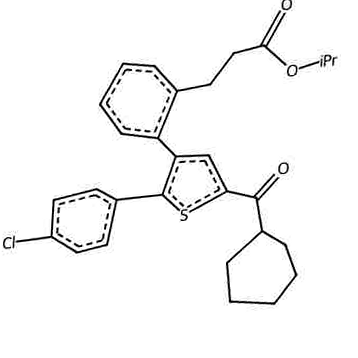 CC(C)OC(=O)CCc1ccccc1-c1cc(C(=O)C2CCCCC2)sc1-c1ccc(Cl)cc1